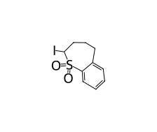 O=S1(=O)c2ccccc2CCCC1I